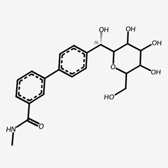 CNC(=O)c1cccc(-c2ccc([C@H](O)C3OC(CO)C(O)C(O)C3O)cc2)c1